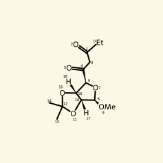 CCC(=O)CC(=O)[C@H]1O[C@@H](OC)[C@@H]2OC(C)(C)O[C@@H]21